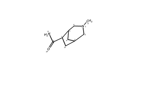 CN1CC2CC(C1)C(C(N)=O)C2